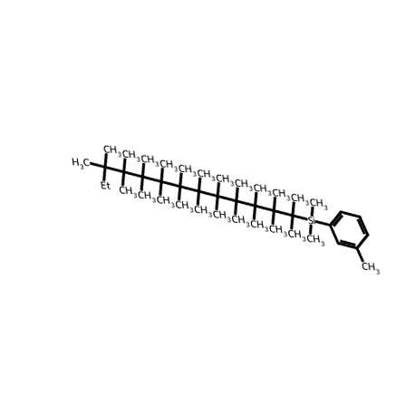 CCC(C)(C)C(C)(C)C(C)(C)C(C)(C)C(C)(C)C(C)(C)C(C)(C)C(C)(C)C(C)(C)C(C)(C)C(C)(C)[Si](C)(C)c1cccc(C)c1